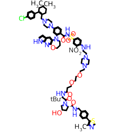 Cc1ncsc1-c1ccc(CNC(=O)[C@@H]2C[C@@H](O)CN2C(=O)[C@@H](NC(=O)CCOCCOCCN2CCN(CCNc3ccc(S(=O)(=O)NC(=O)c4ccc(N5CCN(CC6=C(c7ccc(Cl)cc7)CC(C)(C)CC6)CC5)cc4N4CCCOc5nc6[nH]ccc6cc54)cc3[N+](=O)[O-])CC2)C(C)(C)C)cc1